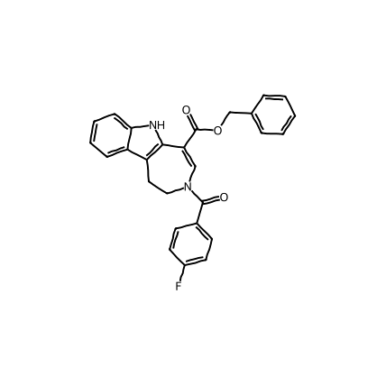 O=C(OCc1ccccc1)C1=CN(C(=O)c2ccc(F)cc2)CCc2c1[nH]c1ccccc21